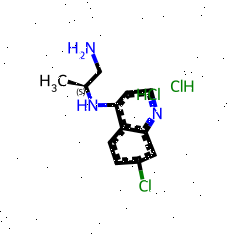 C[C@@H](CN)Nc1ccnc2cc(Cl)ccc12.Cl.Cl